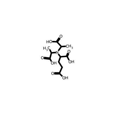 CC(C(=O)O)N(C(C)C(=O)O)C(CCC(=O)O)C(=O)O